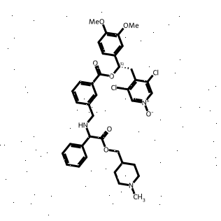 COc1ccc([C@H](Cc2c(Cl)c[n+]([O-])cc2Cl)OC(=O)c2cccc(CNC(C(=O)OCC3CCN(C)CC3)c3ccccc3)c2)cc1OC